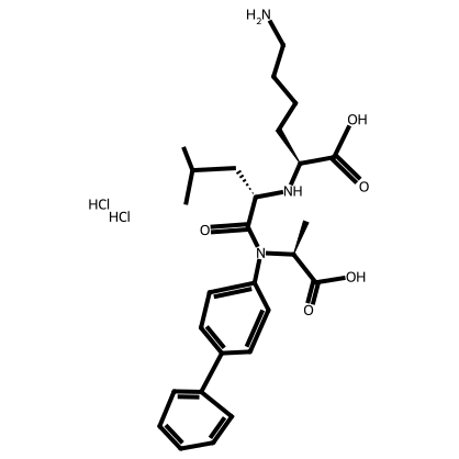 CC(C)C[C@H](N[C@@H](CCCCN)C(=O)O)C(=O)N(c1ccc(-c2ccccc2)cc1)[C@@H](C)C(=O)O.Cl.Cl